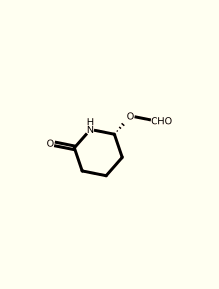 O=CO[C@@H]1CCCC(=O)N1